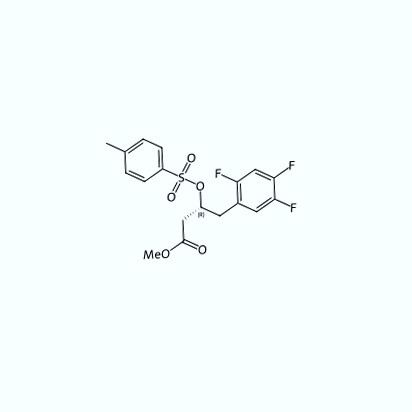 COC(=O)C[C@@H](Cc1cc(F)c(F)cc1F)OS(=O)(=O)c1ccc(C)cc1